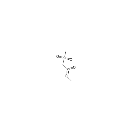 CO[PH](=O)CS(C)(=O)=O